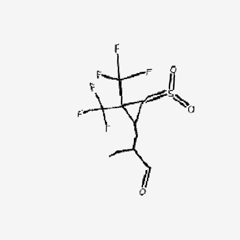 CC(C=O)C1C(=S(=O)=O)C1(C(F)(F)F)C(F)(F)F